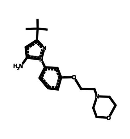 CC(C)(C)c1cc(N)n(-c2cccc(OCCN3CCOCC3)c2)n1